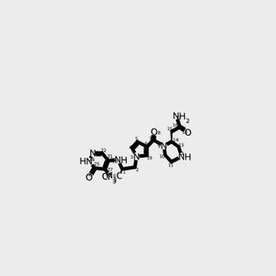 C[C@@H](Cn1ccc(C(=O)N2CCNC[C@@H]2CC(N)=O)c1)Nc1cn[nH]c(=O)c1C(F)(F)F